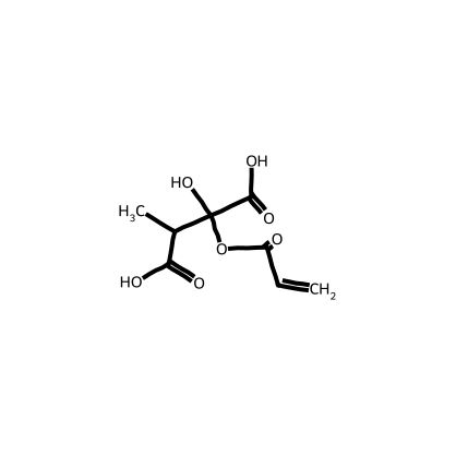 C=CC(=O)OC(O)(C(=O)O)C(C)C(=O)O